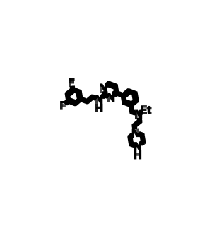 CCN(CCN1CCNCC1)Cc1cccc(-c2ccnc(NCCc3cc(F)cc(F)c3)n2)c1